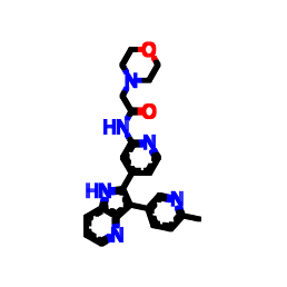 Cc1ccc(-c2c(-c3ccnc(NC(=O)CN4CCOCC4)c3)[nH]c3cccnc23)cn1